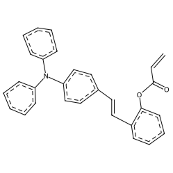 C=CC(=O)Oc1ccccc1C=Cc1ccc(N(c2ccccc2)c2ccccc2)cc1